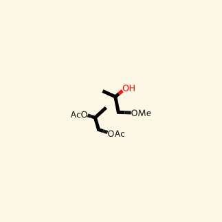 CC(=O)OCC(C)OC(C)=O.COCC(C)O